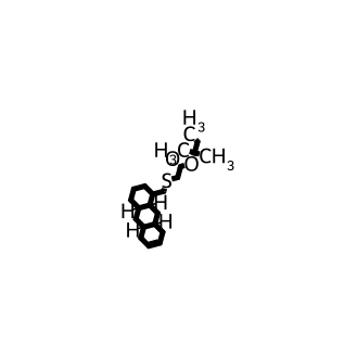 CCC(C)(C)OC(=O)CSCC1CCC[C@@H]2C[C@@H]3CC=CC[C@@H]3C[C@H]12